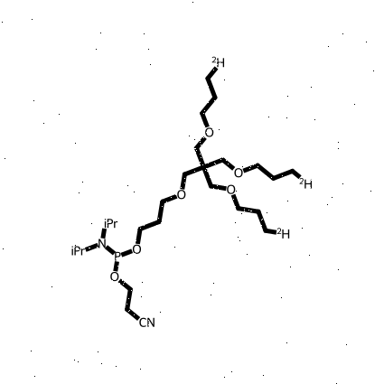 [2H]CCCOCC(COCCC[2H])(COCCC[2H])COCCCOP(OCCC#N)N(C(C)C)C(C)C